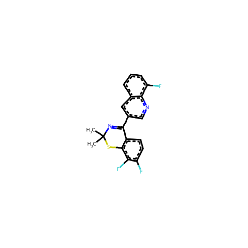 CC1(C)N=C(c2cnc3c(F)cccc3c2)c2ccc(F)c(F)c2S1